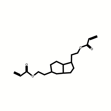 C=CC(=O)OCCC1CCC2C(CCOC(=O)C=C)CCC2C1